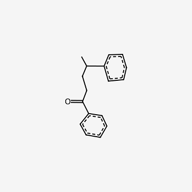 CC(CCC(=O)c1ccccc1)c1ccccc1